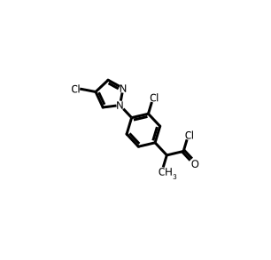 CC(C(=O)Cl)c1ccc(-n2cc(Cl)cn2)c(Cl)c1